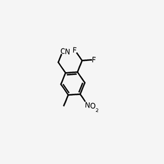 Cc1cc(CC#N)c(C(F)F)cc1[N+](=O)[O-]